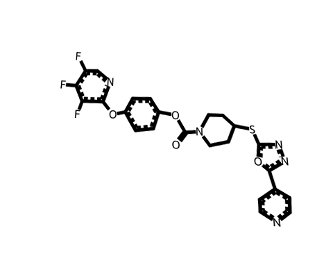 O=C(Oc1ccc(Oc2ncc(F)c(F)c2F)cc1)N1CCC(Sc2nnc(-c3ccncc3)o2)CC1